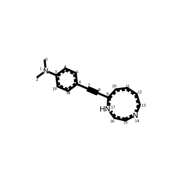 CN(C)c1ccc(C#Cc2ccccncc[nH]2)cc1